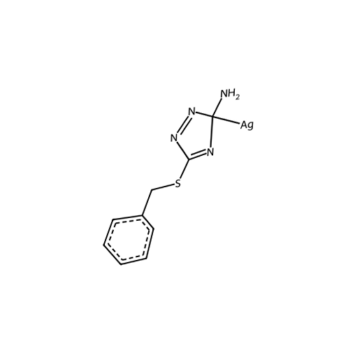 N[C]1([Ag])N=NC(SCc2ccccc2)=N1